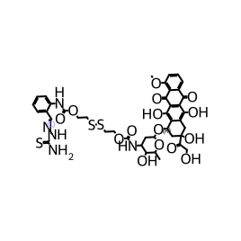 COc1cccc2c1C(=O)c1c(O)c3c(c(O)c1C2=O)CC(O)(C(=O)CO)C[C@H]3OC1CC(NC(=O)OCCSSCCOC(=O)Nc2ccccc2/C=N/NC(N)=S)C(O)C(C)O1